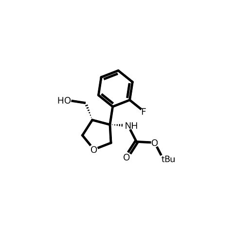 CC(C)(C)OC(=O)N[C@]1(c2ccccc2F)COC[C@@H]1CO